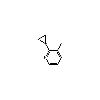 Cc1cccnc1[C]1CC1